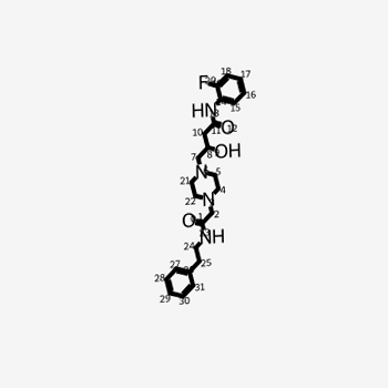 O=C(CN1CCN(CC(O)CC(=O)Nc2ccccc2F)CC1)NCCc1ccccc1